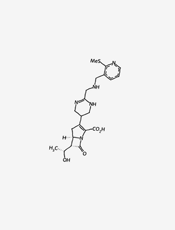 CSc1ncccc1CNCC1=NCC(C2=C(C(=O)O)N3C(=O)[C@H]([C@@H](C)O)[C@H]3C2)CN1